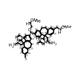 CONCON(c1ccc2c(c1)CCc1cc(C)ccc1C2(CCN)c1nnc[nH]1)c1ccc2c(c1)CCc1cc(CNOC)ccc1C2(CCN)c1nnc(C)[nH]1